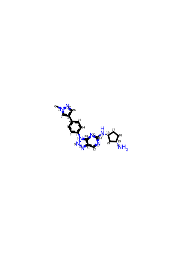 Cn1cc(-c2ccc(-n3nnc4cnc(N[C@@H]5CC[C@H](N)C5)nc43)cc2)cn1